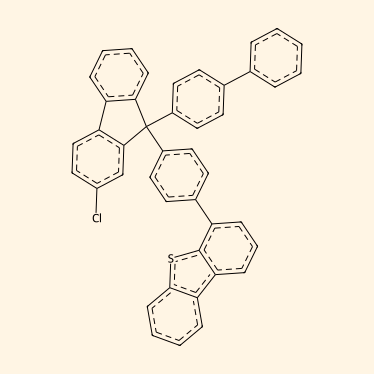 Clc1ccc2c(c1)C(c1ccc(-c3ccccc3)cc1)(c1ccc(-c3cccc4c3sc3ccccc34)cc1)c1ccccc1-2